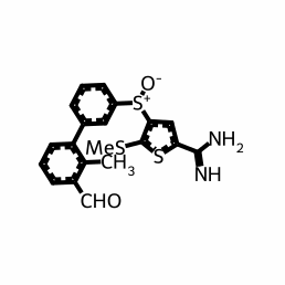 CSc1sc(C(=N)N)cc1[S+]([O-])c1cccc(-c2cccc(C=O)c2C)c1